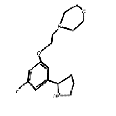 Fc1cc(OCCN2CCOCC2)cc(C2CCCN2)c1